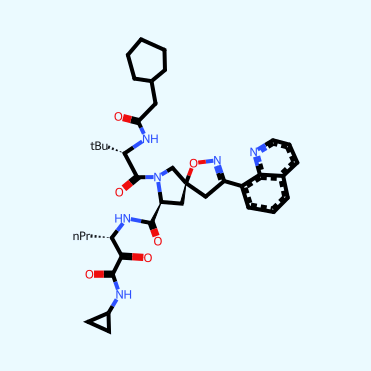 CCC[C@H](NC(=O)[C@@H]1C[C@@]2(CC(c3cccc4cccnc34)=NO2)CN1C(=O)[C@@H](NC(=O)CC1CCCCC1)C(C)(C)C)C(=O)C(=O)NC1CC1